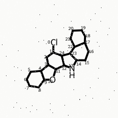 ClC1CC2C3CCCCC3OC2C2NC3CCC4CCCCC4C3C12